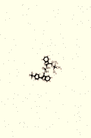 CC(C)(C)OC(=O)c1c(NC(=O)NCc2c(-c3ccc(C(F)(F)F)cc3)sc3c2CCCC3)sc2c1CCCC2